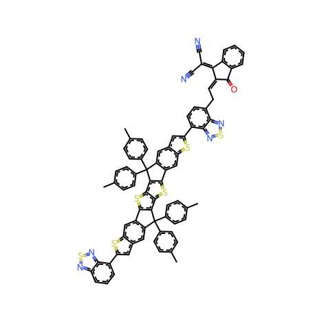 Cc1ccc(C2(c3ccc(C)cc3)c3cc4cc(-c5cccc6nsnc56)sc4cc3-c3sc4c5c(sc4c32)-c2cc3sc(-c4ccc(C/C=C6\C(=O)c7ccccc7C6=C(C#N)C#N)c6nsnc46)cc3cc2C5(c2ccc(C)cc2)c2ccc(C)cc2)cc1